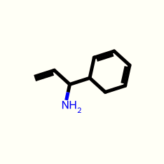 C=CC(N)C1C=CC=CC1